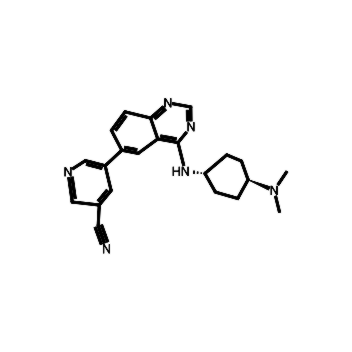 CN(C)[C@H]1CC[C@H](Nc2ncnc3ccc(-c4cncc(C#N)c4)cc23)CC1